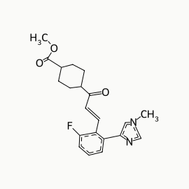 COC(=O)C1CCC(C(=O)/C=C/c2c(F)cccc2-c2cn(C)cn2)CC1